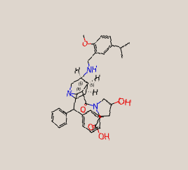 COc1ccc(C(C)C)cc1CN[C@@H]1CN2CC[C@H]1[C@@H](C(=O)N1CC(O)CC1C(=O)O)C2C(c1ccccc1)c1ccccc1